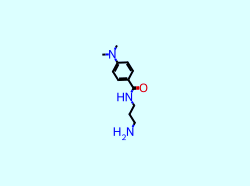 CN(C)c1ccc(C(=O)NCCCN)cc1